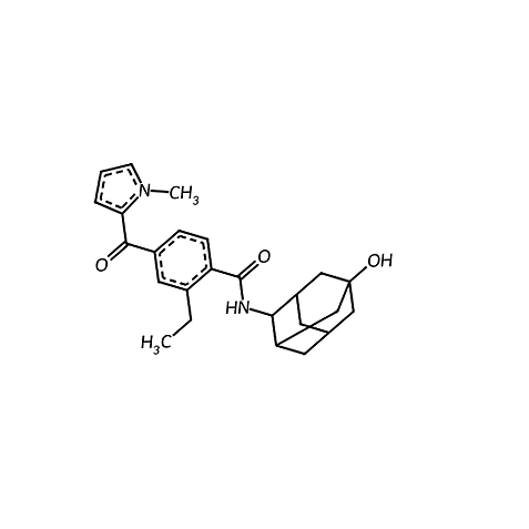 CCc1cc(C(=O)c2cccn2C)ccc1C(=O)NC1C2CC3CC1CC(O)(C3)C2